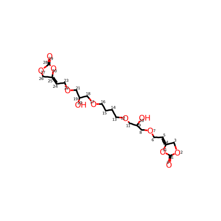 O=C1OC/C(=C/COCC(O)COCCCCOCC(O)COC/C=C2/COC(=O)O2)O1